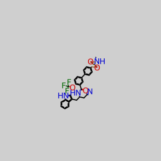 CNS(=O)(=O)c1ccc(-c2ccc(OC(F)(F)F)c(C(=O)NC(CC#N)Cc3c[nH]c4ccccc34)c2)cc1